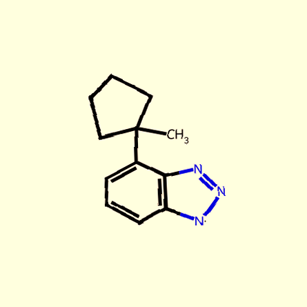 CC1(c2cccc3c2N=N[N]3)CCCC1